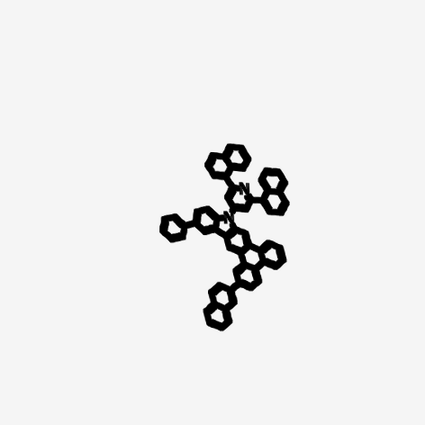 c1ccc(-c2ccc3c(c2)c2cc4c5cc(-c6ccc7ccccc7c6)ccc5c5ccccc5c4cc2n3-c2cc(-c3cccc4ccccc34)nc(-c3cccc4ccccc34)c2)cc1